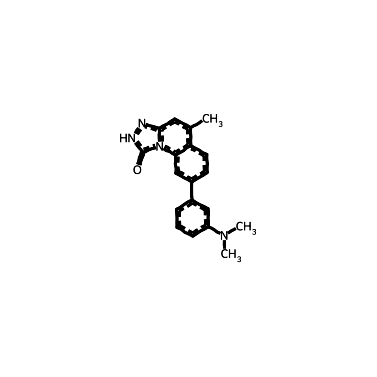 Cc1cc2n[nH]c(=O)n2c2cc(-c3cccc(N(C)C)c3)ccc12